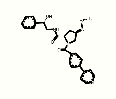 CO/N=C1\C[C@@H](C(=O)NC[C@@H](O)c2ccccc2)N(C(=O)c2ccc(-c3ccncc3)cc2)C1